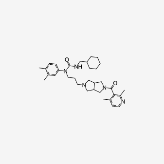 Cc1ccc(N(CCCN2CC3CN(C(=O)c4c(C)ccnc4C)CC3C2)C(=O)NCC2CCCCC2)cc1C